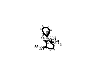 CNC1CCCC(C)(C)N(C2CCCCCC2)C1=O